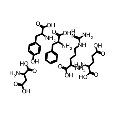 N=C(N)NCCCC(N)C(=O)O.NC(CC(=O)O)C(=O)O.NC(CCC(=O)O)C(=O)O.NC(Cc1ccc(O)cc1)C(=O)O.NC(Cc1ccccc1)C(=O)O